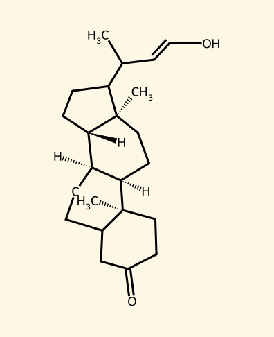 CC(C=CO)C1CC[C@H]2[C@@H]3CCC4CC(=O)CC[C@]4(C)[C@@H]3CC[C@]12C